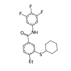 CCc1ccc(C(=O)Nc2cc(F)c(F)c(F)c2)cc1SC1CCCCC1